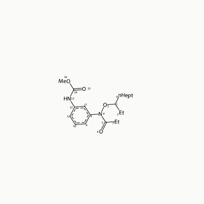 CCCCCCCC(CC)ON(C(=O)CC)c1cccc(NC(=O)OC)c1